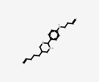 C=CCCCC1COC(c2ccc(OCCC=C)cc2)OC1